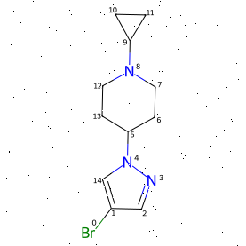 Brc1cnn(C2CCN(C3CC3)CC2)c1